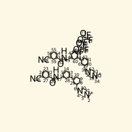 C[N+]1(C)CCN(Cc2cccc(-c3cccc(CNC(=O)c4cccc(C#N)c4)c3)c2)CC1.C[N+]1(C)CCN(Cc2cccc(-c3cccc(CNC(=O)c4cccc(C#N)c4)c3)c2)CC1.O=C([O-])C(F)(F)F.O=C([O-])C(F)(F)F